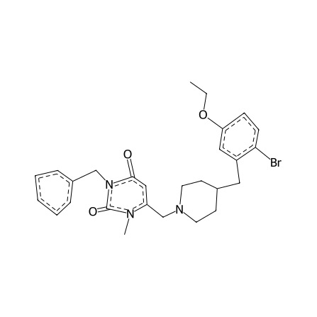 CCOc1ccc(Br)c(CC2CCN(Cc3cc(=O)n(Cc4ccccc4)c(=O)n3C)CC2)c1